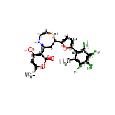 Cc1cc(O)c(C2=NCCSC(c3ccc(-c4c(C)c(F)c(F)c(F)c4Cl)o3)C2)c(=O)o1